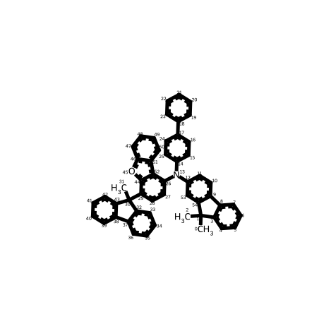 CC1(C)c2ccccc2-c2ccc(N(c3ccc(-c4ccccc4)cc3)c3ccc(C4(C)c5ccccc5-c5ccccc54)c4oc5ccccc5c34)cc21